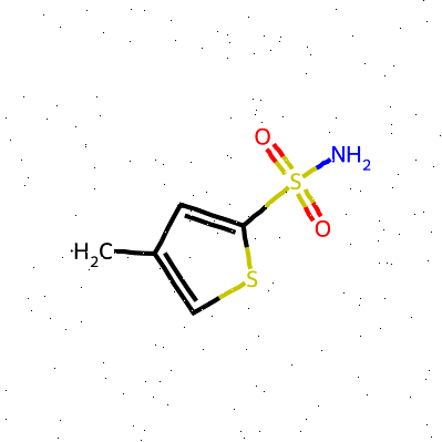 [CH2]c1csc(S(N)(=O)=O)c1